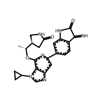 C[C@@H](Oc1nc(-c2ccc3c(c2)NC(=O)C3=N)cc2ncn(C3CC3)c12)[C@H]1CNC(=O)C1